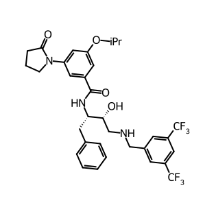 CC(C)Oc1cc(C(=O)N[C@@H](Cc2ccccc2)[C@H](O)CNCc2cc(C(F)(F)F)cc(C(F)(F)F)c2)cc(N2CCCC2=O)c1